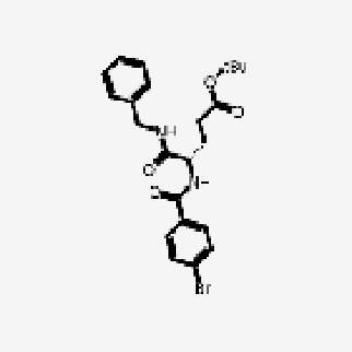 CC(C)(C)OC(=O)CC[C@H](NC(=O)c1ccc(Br)cc1)C(=O)NCc1ccccc1